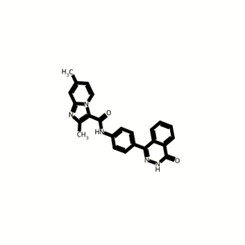 Cc1ccn2c(C(=O)Nc3ccc(-c4n[nH]c(=O)c5ccccc45)cc3)c(C)nc2c1